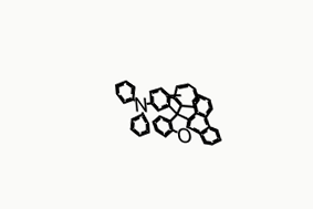 CC1=C(C2(c3cc(N(c4ccccc4)c4ccccc4)ccc3C)c3ccccc3Oc3c2c2ccccc2c2ccccc32)CC=CC=C1